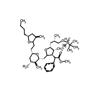 C=C1C[C@H](CCCC)OC1CC[C@H]1C[C@@H](C)C(=C)[C@@H](CC2O[C@H](C[C@H](C)CO[Si](C)(C)C(C)(C)C)[C@H](C)[C@H]2C(C(=O)OC)c2ccccc2)O1